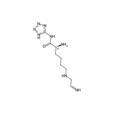 N=CCNCCCC[C@H](N)C(=O)Nc1nnn[nH]1